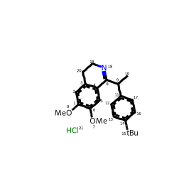 COc1cc2c(cc1OC)C(C(C)c1ccc(C(C)(C)C)cc1)=NCC2.Cl